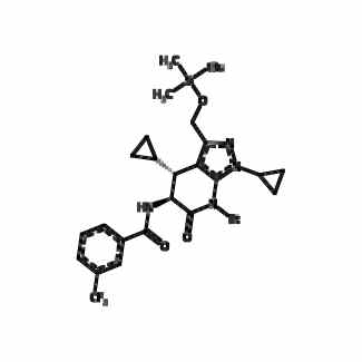 CCN1C(=O)[C@@H](NC(=O)c2cccc(C(F)(F)F)c2)[C@H](C2CC2)c2c(CO[Si](C)(C)C(C)(C)C)nn(C3CC3)c21